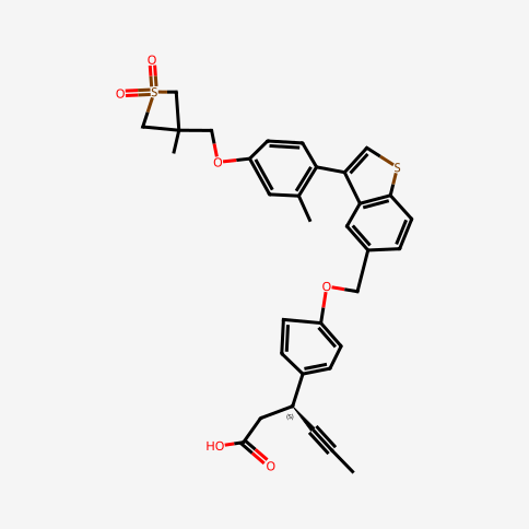 CC#C[C@@H](CC(=O)O)c1ccc(OCc2ccc3scc(-c4ccc(OCC5(C)CS(=O)(=O)C5)cc4C)c3c2)cc1